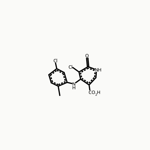 Cc1ccc(Cl)cc1Nc1c(C(=O)O)c[nH]c(=O)c1Cl